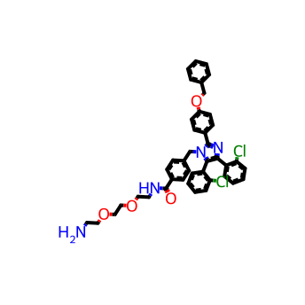 NCCOCCOCCNC(=O)c1ccc(Cn2c(-c3ccc(OCc4ccccc4)cc3)nc(-c3ccccc3Cl)c2-c2ccccc2Cl)cc1